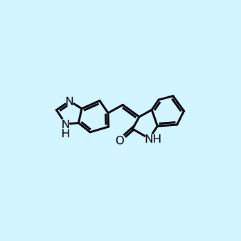 O=C1Nc2ccccc2C1=Cc1ccc2[nH]cnc2c1